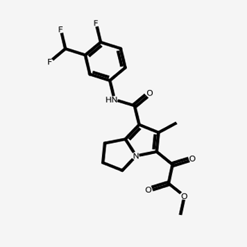 COC(=O)C(=O)c1c(C)c(C(=O)Nc2ccc(F)c(C(F)F)c2)c2n1CCC2